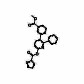 COC(=O)c1cccc(-c2ccc(OC(=O)c3cccs3)nc2-c2ccccc2)c1